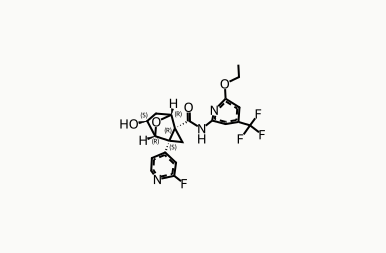 CCOc1cc(C(F)(F)F)cc(NC(=O)[C@]23C[C@@]2(c2ccnc(F)c2)[C@H]2O[C@@H]3C[C@@H]2O)n1